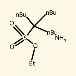 CCCCC(CCCC)(CCCC)S(=O)(=O)OCC.N